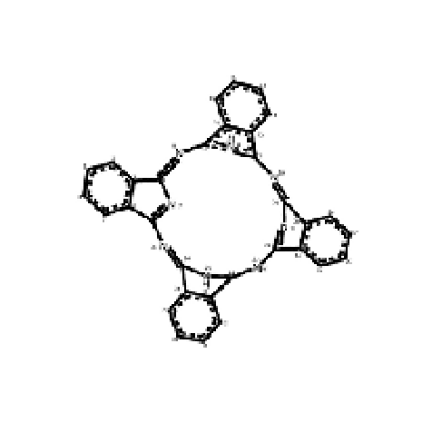 c1ccc2c(c1)C1=NC/2=N\c2[nH]c(c3ccccc23)/N=C2\N=C(NC3N/C(=N\1)c1ccccc13)c1ccccc12